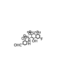 CCCCC1(CCCC)C(=O)C(C2=NS(=O)(=O)c3cc(C=O)ccc3N2)=C(O)c2cc(F)ccc21